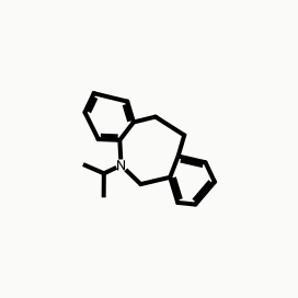 CC(C)N1Cc2ccccc2CCc2ccccc21